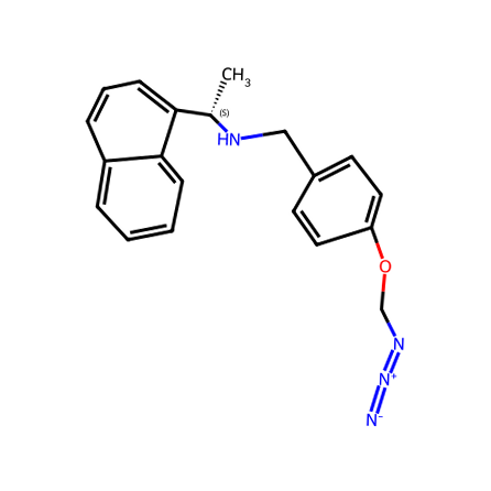 C[C@H](NCc1ccc(OCN=[N+]=[N-])cc1)c1cccc2ccccc12